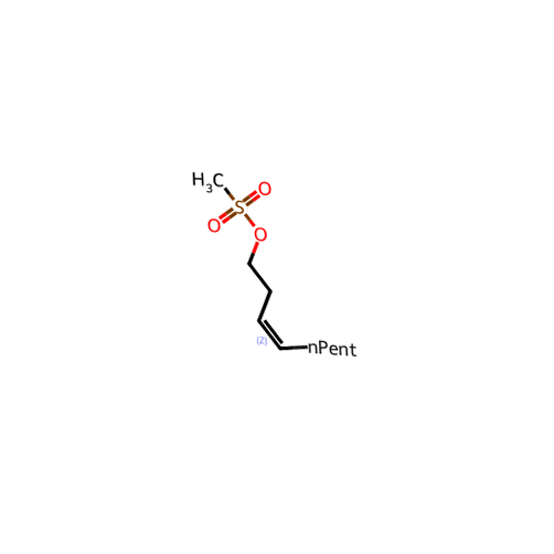 CCCCC/C=C\CCOS(C)(=O)=O